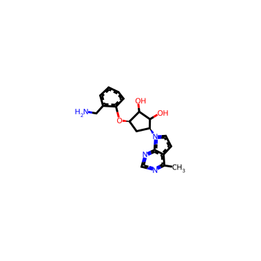 Cc1ncnc2c1ccn2[C@H]1C[C@@H](Oc2ccccc2CN)C(O)C1O